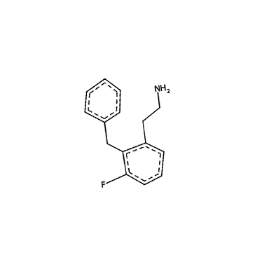 NCCc1cccc(F)c1Cc1ccccc1